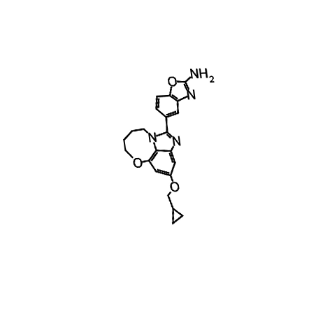 Nc1nc2cc(-c3nc4cc(OCC5CC5)cc5c4n3CCCCO5)ccc2o1